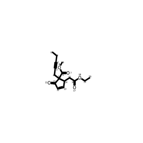 CCC#CCC1(C(=O)OC)C(=O)C=CC1CC(=O)OCC